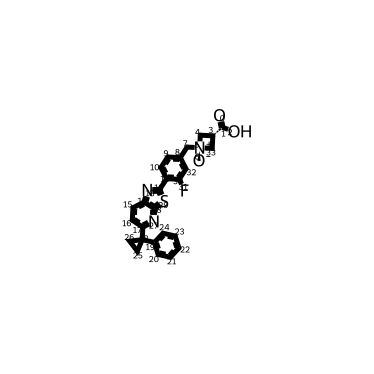 O=C(O)[C@H]1C[N@@+]([O-])(Cc2ccc(-c3nc4ccc(C5(c6ccccc6)CC5)nc4s3)c(F)c2)C1